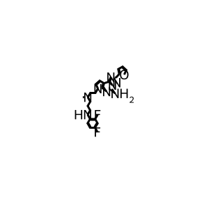 CN(CCCNc1ccc(F)cc1F)CCn1ccc2c1nc(N)n1nc(-c3ccco3)nc21